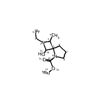 CC(C)CN1C(C)C2(CCCN2C(=O)OC(C)(C)C)C1O